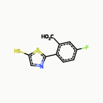 O=C(O)c1cc(F)ccc1-c1ncc(S)s1